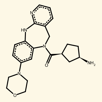 N[C@@H]1CC[C@H](C(=O)N2Cc3cccnc3Nc3ccc(N4CCOCC4)cc32)C1